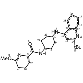 COC1=NC(C(=O)NC2CCC(Nc3cc(C(C)(C)C)nc4ccccc34)CC2)=CCC1